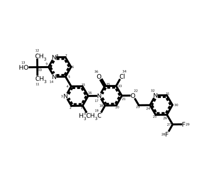 Cc1cnc(-c2ccnc(C(C)(C)O)n2)cc1-n1c(C)cc(OCc2cc(C(F)F)ccn2)c(Cl)c1=O